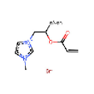 C=CC(=O)OC(CCCCCCCCC)C[n+]1ccn(C)c1.[Br-]